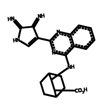 N=C1NC=C(c2nc(NC3C4CCC(CC4)C3C(=O)O)c3ccccc3n2)C1=N